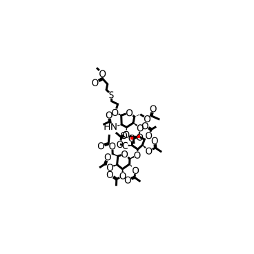 COC(=O)CCSCCO[C@H]1O[C@H](COC(C)=O)[C@@H](O[C@@H]2O[C@H](COC(C)=O)[C@H](O[C@@H]3O[C@H](COC(C)=O)[C@H](OC(C)=O)[C@H](OC(C)=O)[C@H]3OC(C)=O)[C@H](OC(C)=O)[C@H]2OC(C)=O)[C@H](OC(C)=O)[C@@H]1NC(C)=O